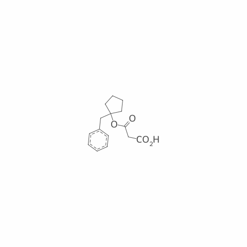 O=C(O)CC(=O)OC1(Cc2ccccc2)CCCC1